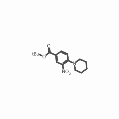 CC(C)(C)OC(=O)c1ccc(N2CCCCC2)c([N+](=O)[O-])c1